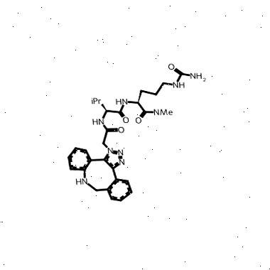 CNC(=O)[C@H](CCCNC(N)=O)NC(=O)[C@@H](NC(=O)Cn1nnc2c1-c1ccccc1NCc1ccccc1-2)C(C)C